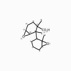 CC12OC1CCCC2C1(C)C2OC2CCC1(C)C(=O)O